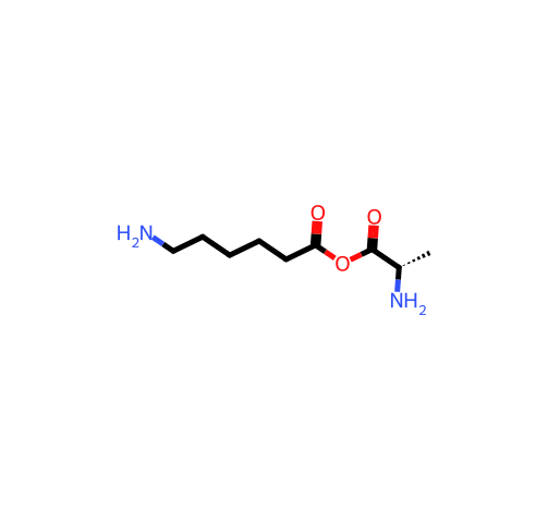 C[C@H](N)C(=O)OC(=O)CCCCCN